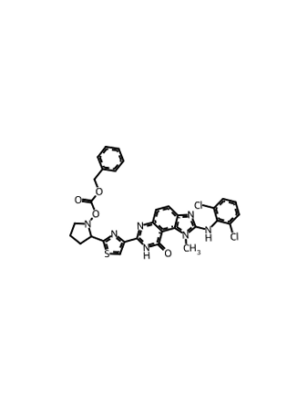 Cn1c(Nc2c(Cl)cccc2Cl)nc2ccc3nc(-c4csc(C5CCCN5OC(=O)OCc5ccccc5)n4)[nH]c(=O)c3c21